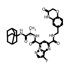 C[C@H](NC(=O)c1cc(C(=O)NCc2ccc3c(c2)NC(=O)CO3)nc2c(F)cnn12)C(=O)NC12CC3CC(CC(C3)C1)C2